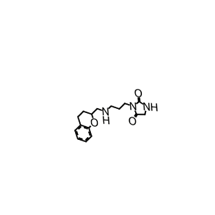 O=C1CNC(=O)N1CCCNCC1CCc2ccccc2O1